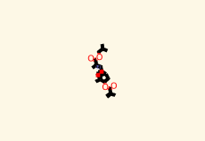 C=C(C)C(=O)OC1CC2C(/C=C(\C)C(=O)OCC(C)C)CC1(C)C2(C)C